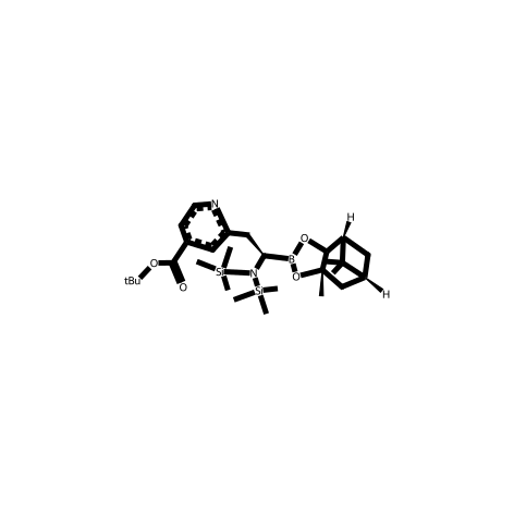 CC(C)(C)OC(=O)c1ccnc(C[C@@H](B2OC3[C@@H]4C[C@H](C[C@]3(C)O2)C4(C)C)N([Si](C)(C)C)[Si](C)(C)C)c1